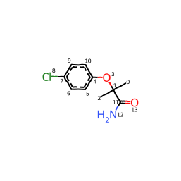 CC(C)(Oc1ccc(Cl)cc1)C(N)=O